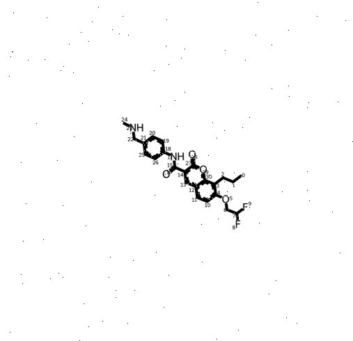 CCCc1c(OCC(F)F)ccc2cc(C(=O)Nc3ccc(CNC)cc3)c(=O)oc12